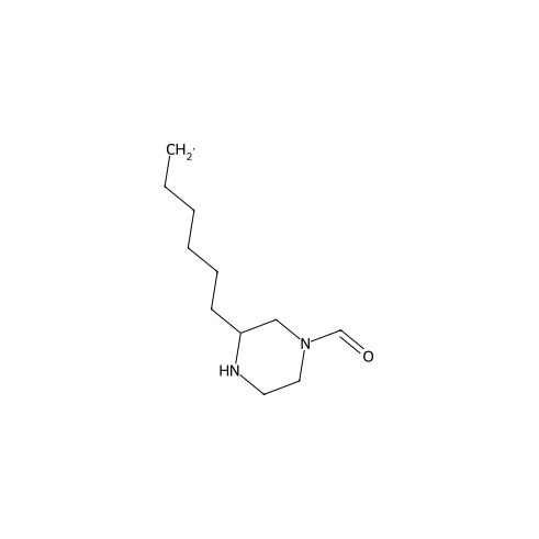 [CH2]CCCCCC1CN(C=O)CCN1